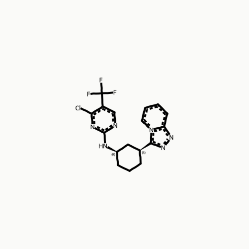 FC(F)(F)c1cnc(N[C@@H]2CCC[C@H](c3nnc4ccccn34)C2)nc1Cl